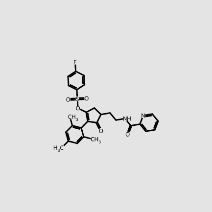 Cc1cc(C)c(C2=C(OS(=O)(=O)c3ccc(F)cc3)CC(CCNC(=O)c3ccccn3)C2=O)c(C)c1